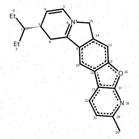 CCC(CC)[C@@H]1C=C[N+]2=C(C1)c1cc3c(cc1C2)oc1nc(C)ccc13